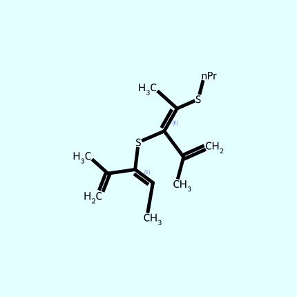 C=C(C)/C(=C\C)S/C(C(=C)C)=C(\C)SCCC